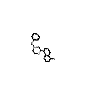 O=c1ccoc2c(C3CN(Oc4ccccc4)CCO3)cccc12